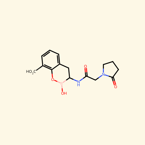 O=C(CN1CCCC1=O)NC1Cc2cccc(C(=O)O)c2OB1O